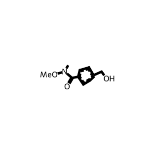 CON(C)C(=O)c1ccc(CO)cc1